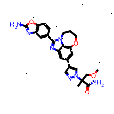 COCC(C)(C(N)=O)n1cc(-c2cc3c4c(c2)nc(-c2ccc5oc(N)nc5c2)n4CCCO3)cn1